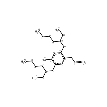 C=CCc1cc(CC(CC)CCCC)c(O)cc1CC(CC)CCCC